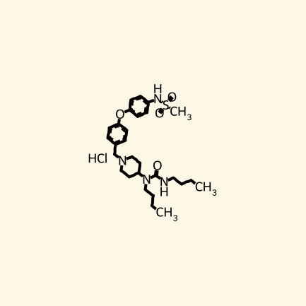 CCCCNC(=O)N(CCCC)C1CCN(Cc2ccc(Oc3ccc(NS(C)(=O)=O)cc3)cc2)CC1.Cl